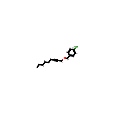 CCCCCCC#CCOCc1ccc(Br)cc1